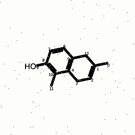 CC1=CCc2c(ccc(O)c2C)C1